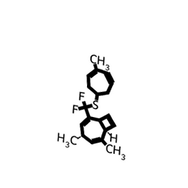 CC1=CCC(SC(F)(F)C2=C[C@@H](C)C=C(C)[C@@H]3C=CC23)CC#C1